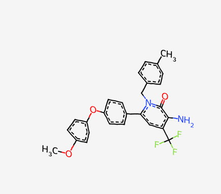 COc1ccc(Oc2ccc(-c3cc(C(F)(F)F)c(N)c(=O)n3Cc3ccc(C)cc3)cc2)cc1